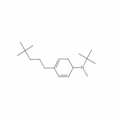 CN(C1C=CC(CCCC(C)(C)C)=CC1)C(C)(C)C